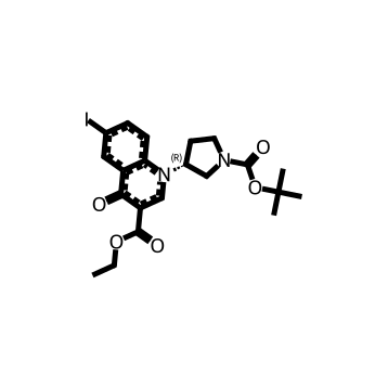 CCOC(=O)c1cn([C@@H]2CCN(C(=O)OC(C)(C)C)C2)c2ccc(I)cc2c1=O